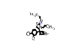 Br.C=CC/N=c1\scc(C2(c3ccc(Cl)c(Cl)c3)CCC2)n1CC=C